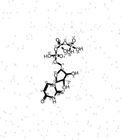 C[C@@]1(O)C(O)[C@@H](COP(=O)(O)OP(=O)(O)OP(=O)(O)O)O[C@H]1n1ccc(=O)[nH]c1=S